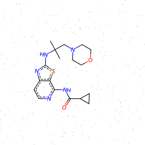 CC(C)(CN1CCOCC1)Nc1nc2ccnc(NC(=O)C3CC3)c2s1